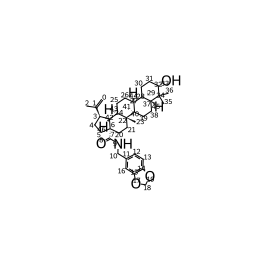 C=C(C)[C@@H]1CC[C@]2(C(=O)NCc3ccc4c(c3)OCO4)CC[C@]3(C)[C@H](CC[C@@H]4[C@@]5(C)CC[C@H](O)C(C)(C)[C@@H]5CC[C@]43C)[C@@H]12